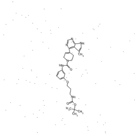 Cc1c[nH]c2ncnc(C3=CCN(C(=O)Nc4cccc(OCCCNC(=O)OC(C)(C)C)c4)CC3)c12